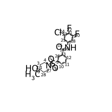 CC1(O)CCN(S(=O)(=O)c2cccc(C(=O)Nc3cc(F)c(F)c(Cl)c3)c2)CC1